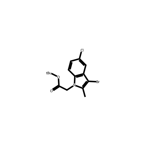 Cc1c(Br)c2cc(Cl)ccc2n1CC(=O)OC(C)(C)C